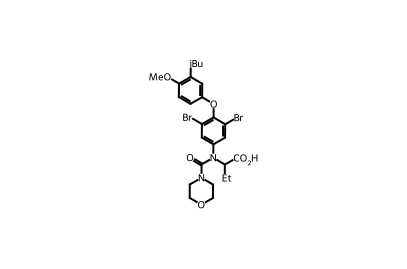 CCC(C)c1cc(Oc2c(Br)cc(N(C(=O)N3CCOCC3)C(CC)C(=O)O)cc2Br)ccc1OC